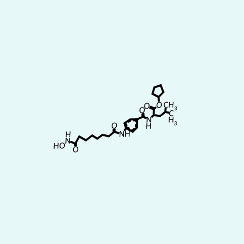 CC(C)CC(NC(=O)c1ccc(NC(=O)CCCCCCC(=O)NO)cc1)C(=O)OC1CCCC1